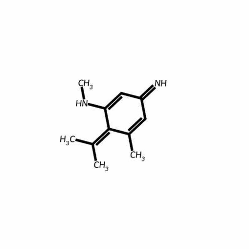 CNC1=CC(=N)C=C(C)C1=C(C)C